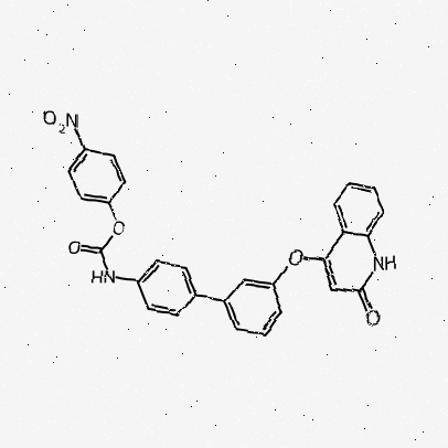 O=C(Nc1ccc(-c2cccc(Oc3cc(=O)[nH]c4ccccc34)c2)cc1)Oc1ccc([N+](=O)[O-])cc1